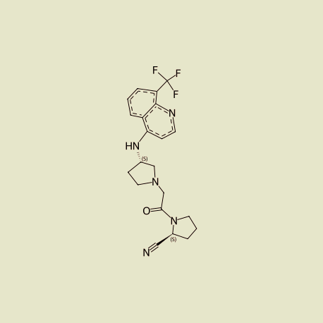 N#C[C@@H]1CCCN1C(=O)CN1CC[C@H](Nc2ccnc3c(C(F)(F)F)cccc23)C1